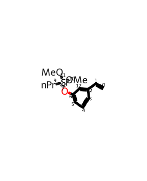 C=Cc1cccc(O[Si](CCC)(OC)OC)c1